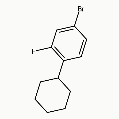 Fc1cc(Br)ccc1C1CCCCC1